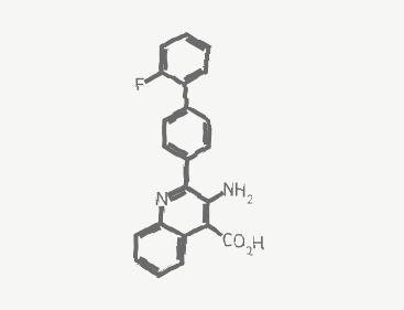 Nc1c(-c2ccc(-c3ccccc3F)cc2)nc2ccccc2c1C(=O)O